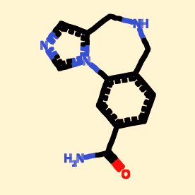 NC(=O)c1ccc2c(c1)-n1cncc1CNC2